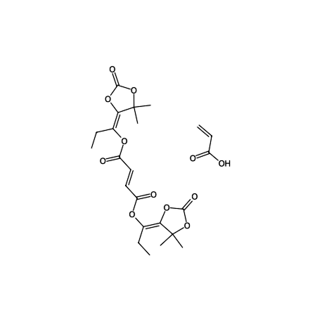 C=CC(=O)O.CCC(OC(=O)/C=C/C(=O)OC(CC)=C1OC(=O)OC1(C)C)=C1OC(=O)OC1(C)C